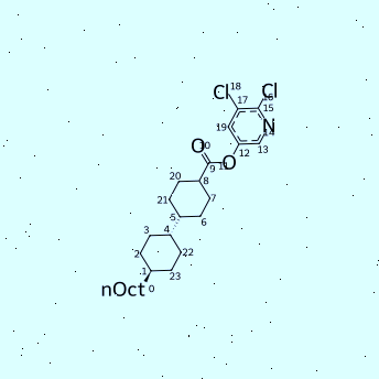 CCCCCCCC[C@H]1CC[C@H](C2CCC(C(=O)Oc3cnc(Cl)c(Cl)c3)CC2)CC1